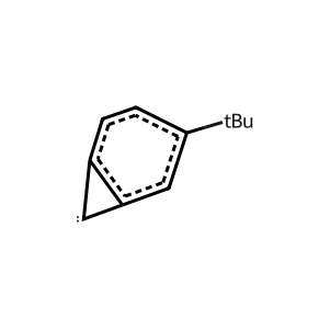 CC(C)(C)c1ccc2c(c1)[C]2